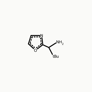 CC(C)(C)C(N)c1ncco1